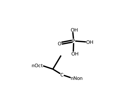 CCCCCCCCCCC(C)CCCCCCCC.O=P(O)(O)O